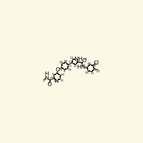 CNC(=O)c1cc(Oc2ccc(-c3c[nH]c(C(=O)Nc4ccc(C)c(Cl)c4)c3)cc2)ccn1